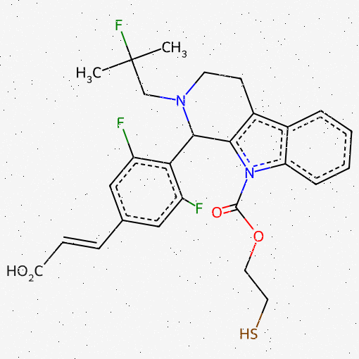 CC(C)(F)CN1CCc2c(n(C(=O)OCCS)c3ccccc23)C1c1c(F)cc(/C=C/C(=O)O)cc1F